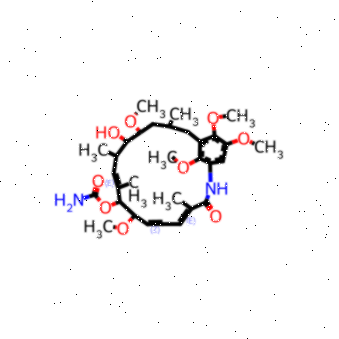 COc1cc2c(OC)c(c1OC)CC(C)CC(OC)C(O)C(C)/C=C(\C)C(OC(N)=O)C(OC)/C=C\C=C(/C)C(=O)N2